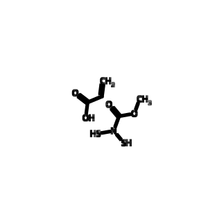 C=CC(=O)O.COC(=O)N(S)S